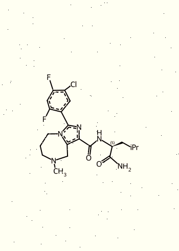 CC(C)C[C@H](NC(=O)c1nc(-c2cc(Cl)c(F)cc2F)n2c1CN(C)CCC2)C(N)=O